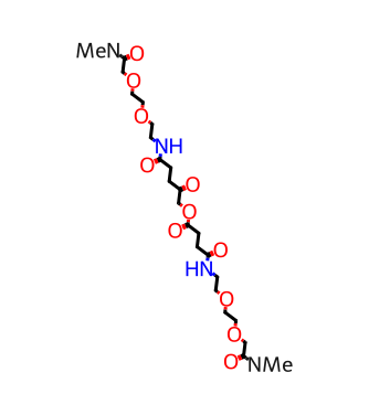 CNC(=O)COCCOCCNC(=O)CCC(=O)COC(=O)CCC(=O)NCCOCCOCC(=O)NC